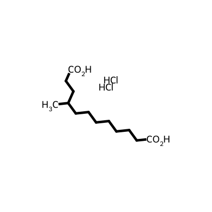 CC(CCCCCCCC(=O)O)CCC(=O)O.Cl.Cl